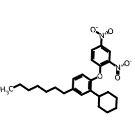 CCCCCCCc1ccc(Oc2ccc([N+](=O)[O-])cc2[N+](=O)[O-])c(C2CCCCC2)c1